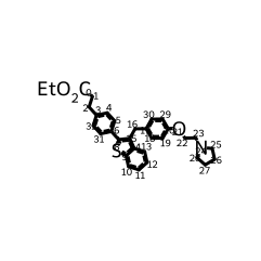 CCOC(=O)CCc1ccc(-c2sc3ccccc3c2Cc2ccc(OCCN3CCCC3)cc2)cc1